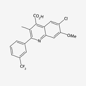 COc1cc2nc(-c3cccc(C(F)(F)F)c3)c(C)c(C(=O)O)c2cc1Cl